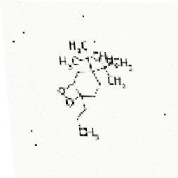 CCCC12CCC(C(C)(C)C)(C(C)(C)C)CC1OO2